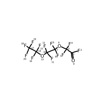 O=C(F)C(F)(F)OC(F)(F)C(F)(F)OC(F)(F)C(F)(F)F